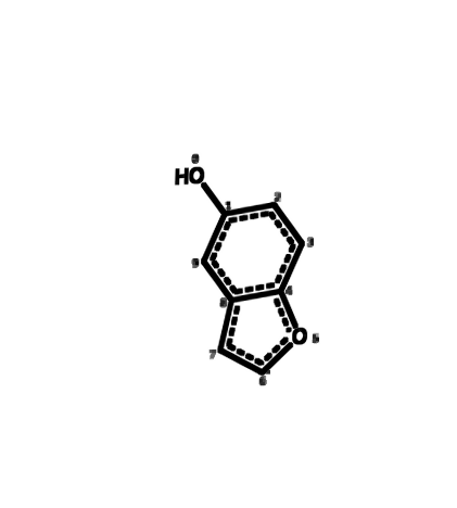 Oc1ccc2o[c]cc2c1